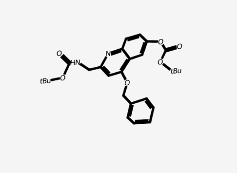 CC(C)(C)OC(=O)NCc1cc(OCc2ccccc2)c2cc(OC(=O)OC(C)(C)C)ccc2n1